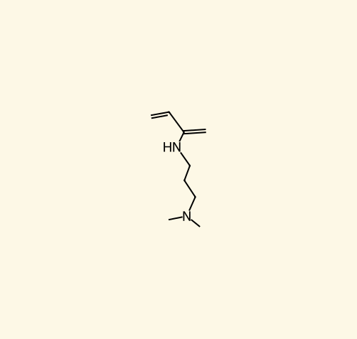 C=CC(=C)NCCCN(C)C